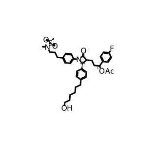 CC(=O)O[C@@H](CCC1C(=O)N(c2ccc(CCCN(C)S(C)(=O)=O)cc2)[C@@H]1c1ccc(CCCCCCO)cc1)c1ccc(F)cc1